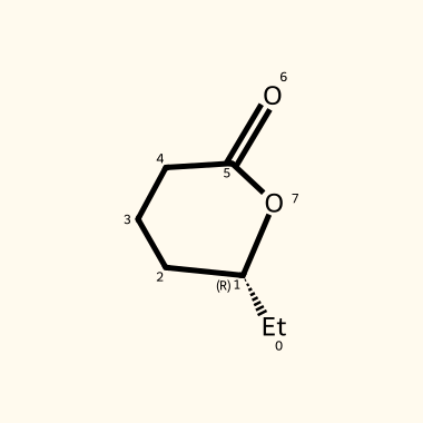 CC[C@@H]1CCCC(=O)O1